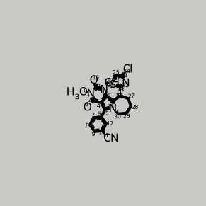 Cn1c(=O)c2c(-c3cccc(C#N)c3)n3c(c2n(C)c1=O)[C@@H](c1nc(Cl)cs1)CCCC3